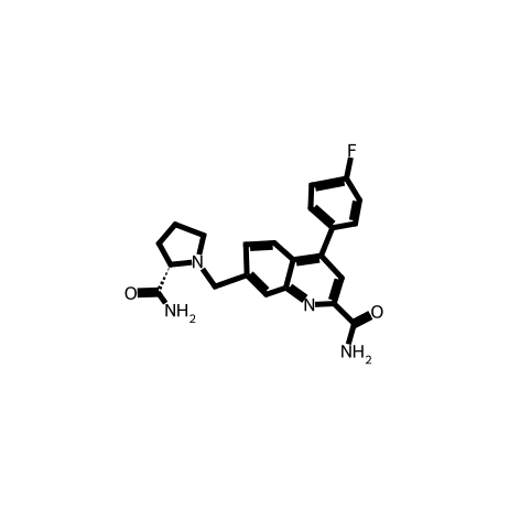 NC(=O)c1cc(-c2ccc(F)cc2)c2ccc(CN3CCC[C@H]3C(N)=O)cc2n1